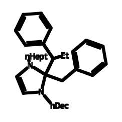 CCCCCCCCCCN1C=CN(CCCCCCC)C1(Cc1ccccc1)C(CC)c1ccccc1